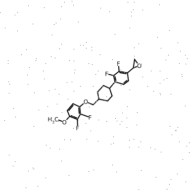 COc1ccc(OCC2CCC(c3ccc(C4CO4)c(F)c3F)CC2)c(F)c1F